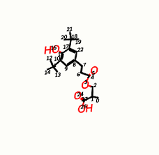 CC(COC(=O)CCc1cc(C(C)(C)C)c(O)c(C(C)(C)C)c1)C(=O)O